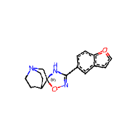 c1cc2cc(C3=NO[C@]4(CN5CCC4CC5)N3)ccc2o1